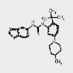 CC1CCN(c2ccc(C(C)(C)C)c(OC(=S)Nc3ccc4ncsc4c3)c2)CC1